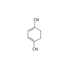 N#CC1=CC=C(C#N)CC1